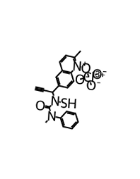 C#CC(c1ccc2c(ccc(C)[n+]2O[Cl+3]([O-])([O-])[O-])c1)N(S)C(=O)N(C)c1ccccc1